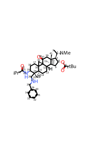 CN[C@@H](C)[C@H]1[C@H](OC(=O)C(C)(C)C)C[C@@]2(C)[C@@H]3CC[C@@H]4C5(CC[C@H](NC(=O)C(C)C)[C@@]4(C)CNCc4ccccc4)C[C@@]35C(=O)C[C@]12C